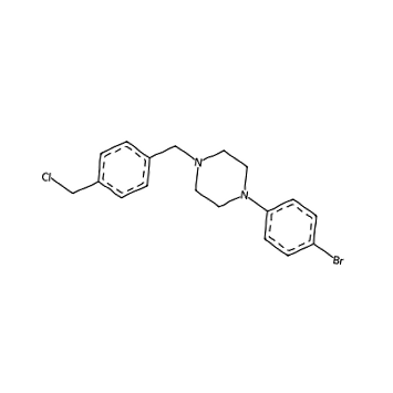 ClCc1ccc(CN2CCN(c3ccc(Br)cc3)CC2)cc1